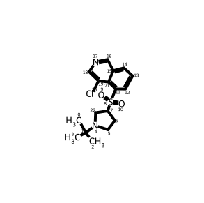 CC(C)(C)N1CCC(S(=O)(=O)c2cccc3cncc(Cl)c23)C1